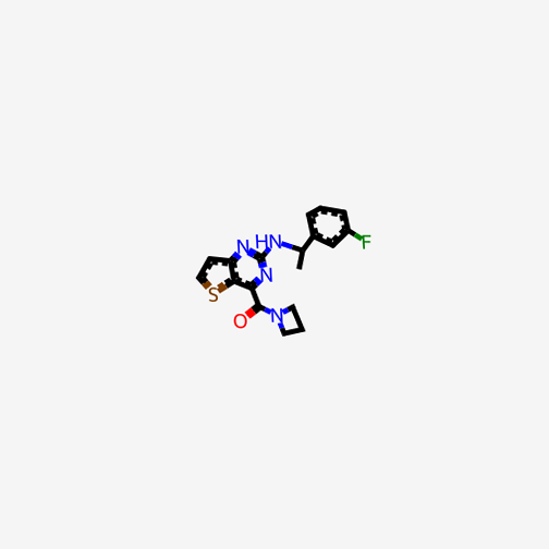 CC(Nc1nc(C(=O)N2CCC2)c2sccc2n1)c1cccc(F)c1